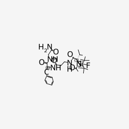 CC(=O)N([C@H](C(=O)NCCC(=O)N[C@@H](Cc1ccccc1)C(=O)NCC(N)=O)C(C)C)[Si](F)(C(C)(C)C)C(C)(C)C